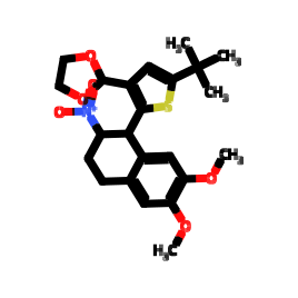 COc1cc2c(cc1OC)C(c1sc(C(C)(C)C)cc1C1OCCO1)C([N+](=O)[O-])CC2